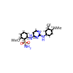 CNc1ccc(Nc2nccc(Nc3cccc(OC)c3S(N)(=O)=O)n2)cc1C(F)(F)F